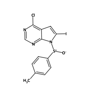 Cc1ccc([S+]([O-])n2c(I)cc3c(Cl)ncnc32)cc1